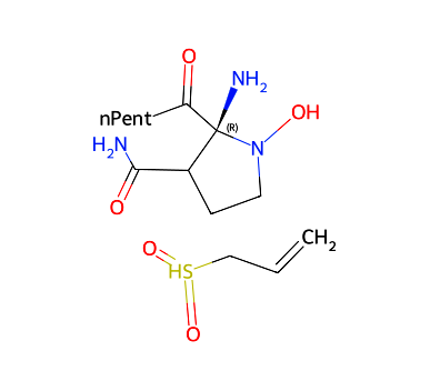 C=CC[SH](=O)=O.CCCCCC(=O)[C@@]1(N)C(C(N)=O)CCN1O